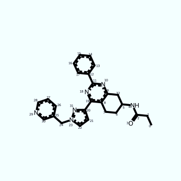 CCC(=O)NC1CCc2c(nc(-c3ccccc3)nc2-c2ccn(Cc3cccnc3)n2)C1